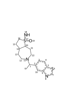 CC(c1ccc2scnc2c1)N1CCC2CCS(=N)(=O)C2CC1